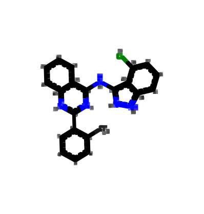 FC(F)(F)c1ccccc1-c1nc(Nc2n[nH]c3cccc(Cl)c23)c2ccccc2n1